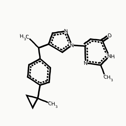 Cc1nc(-n2cc(C(C)c3ccc(C4(C)CC4)cc3)cn2)cc(=O)[nH]1